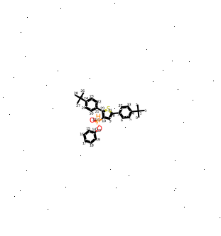 CC(C)(C)c1ccc(-c2cc([PH](=O)Oc3ccccc3)c(-c3ccc(C(C)(C)C)cc3)s2)cc1